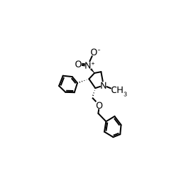 CN1C[C@H]([N+](=O)[O-])[C@@H](c2ccccc2)[C@H]1COCc1ccccc1